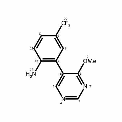 COc1ncncc1-c1cc(C(F)(F)F)ccc1N